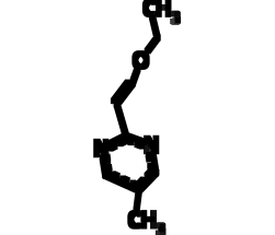 CCOC=Cc1ncc(C)cn1